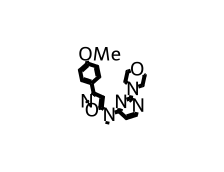 COc1ccc(-c2cc(N(C)c3ccnc(N4CCOCC4)n3)on2)cc1